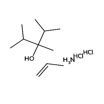 C=CC.CC(C)C(C)(O)C(C)C.Cl.Cl.N